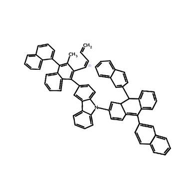 C=C/C=C\c1c(C)c(-c2cccc3ccccc23)c2ccccc2c1-c1ccc2c(c1)c1ccccc1n2C1=CC2C(=C(c3ccc4ccccc4c3)c3ccccc3C2c2ccc3ccccc3c2)C=C1